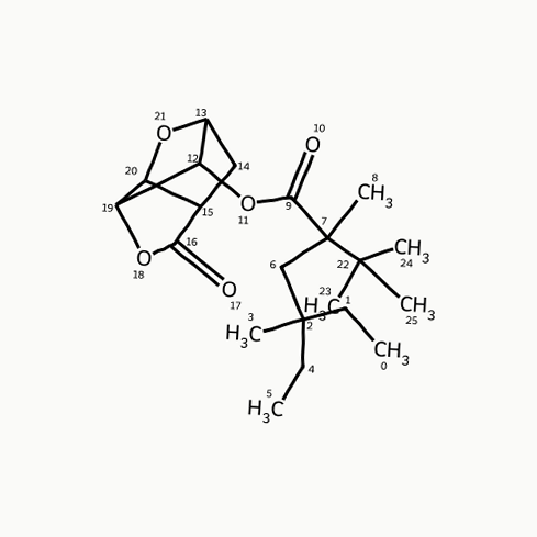 CCC(C)(CC)CC(C)(C(=O)OC1C2CC3C(=O)OC1C3O2)C(C)(C)C